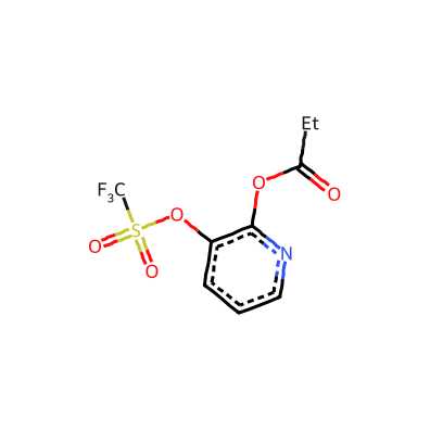 CCC(=O)Oc1ncccc1OS(=O)(=O)C(F)(F)F